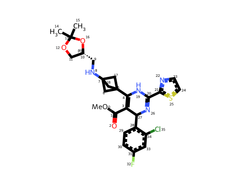 COC(=O)C1=C(C23CC(NC[C@@H]4COC(C)(C)O4)(C2)C3)NC(c2nccs2)=NC1c1ccc(F)cc1Cl